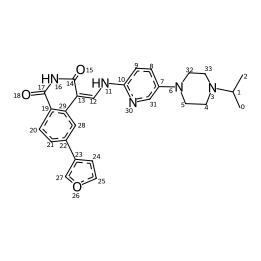 CC(C)N1CCN(c2ccc(N/C=C3\C(=O)NC(=O)c4ccc(-c5ccoc5)cc43)nc2)CC1